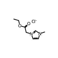 CCOC(=O)C[n+]1ccn(C)c1.[Cl-]